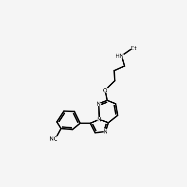 CCNCCCOc1ccc2ncc(-c3cccc(C#N)c3)n2n1